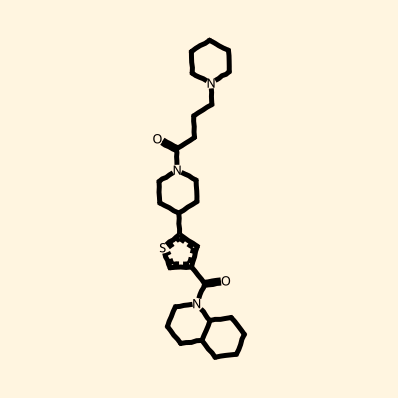 O=C(CCCN1CCCCC1)N1CCC(c2cc(C(=O)N3CCCC4CCCCC43)cs2)CC1